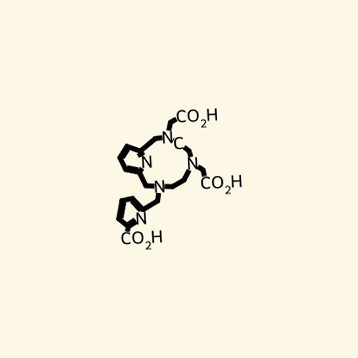 O=C(O)CN1CCN(CC(=O)O)Cc2cccc(n2)CN(Cc2cccc(C(=O)O)n2)CC1